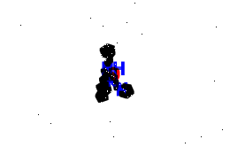 O=c1c(CNCCc2ccccc2)cc2cc3c(cc2n1CCN1CCCCC1)CCC3